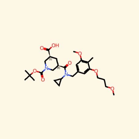 COCCCOc1cc(CN(C(=O)[C@@H]2C[C@H](C(=O)O)CN(C(=O)OC(C)(C)C)C2)C2CC2)cc(OC)c1C